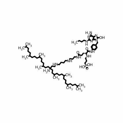 CCCCNc1nc(N)c2nc(O)n(Cc3ccc(NC(=O)[C@H](CCC(=O)NCCCNCCCCNCCC(N)(CCC(C)CCCC(C)CCCC(C)CCCC(C)C)CCC(C)CCCC(C)CCCC(C)CCCC(C)C)NCCCP(=O)(O)O)cc3)c2n1